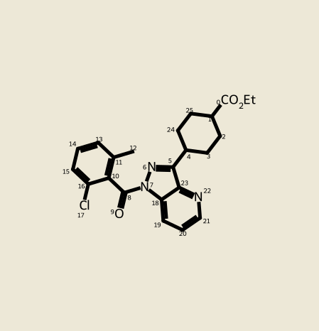 CCOC(=O)C1CCC(c2nn(C(=O)c3c(C)cccc3Cl)c3cccnc23)CC1